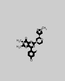 Cc1nc2c(-c3ccc(Cl)cc3F)nc(N3CCO[C@H](c4cnn(C)c4)C3)nc2c(=O)n1C